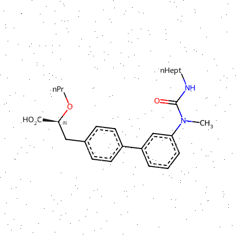 CCCCCCCNC(=O)N(C)c1cccc(-c2ccc(C[C@H](OCCC)C(=O)O)cc2)c1